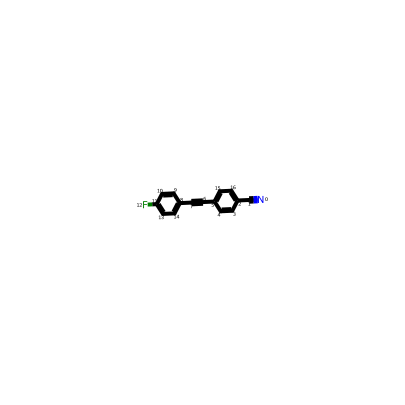 N#Cc1ccc(C#Cc2ccc(F)cc2)cc1